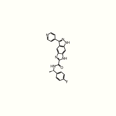 C[C@@H](NC(=O)c1nc2cc3c(-c4ccncc4)n[nH]c3cc2[nH]1)c1ccc(F)cc1